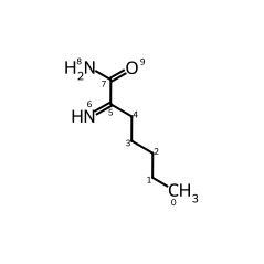 CCCCCC(=N)C(N)=O